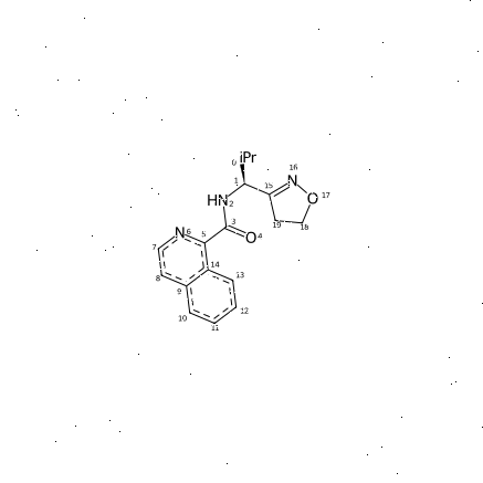 CC(C)[C@H](NC(=O)c1nccc2ccccc12)C1=NOCC1